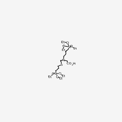 CCO[Si](CCCCN(CSCCC[Si](OCC)(OCC)OCC)CC(=O)O)(OCC)OCC